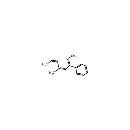 C\C=C/C(C)=C\C(=N\C)c1ccccn1